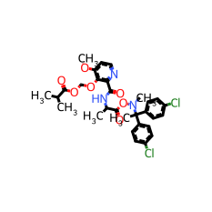 COc1ccnc(C(=O)NC(C)C(=O)ON(C)C(C)(c2ccc(Cl)cc2)c2ccc(Cl)cc2)c1OCOC(=O)C(C)C